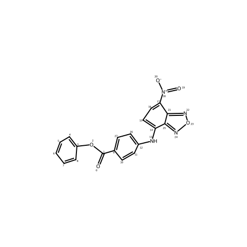 O=C(Oc1ccccc1)c1ccc(Nc2ccc([N+](=O)[O-])c3nonc23)cc1